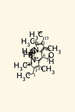 CCC1=C(C)/C(=C(\CO)c2c(C)c(CC)c(C)n2C)[N+](B(F)F)=C1C